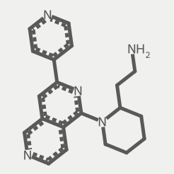 NCCC1CCCCN1c1nc(-c2ccncc2)cc2cnccc12